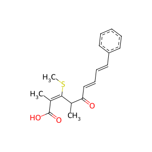 CSC(=C(C)C(=O)O)C(C)C(=O)C=CC=Cc1ccccc1